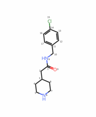 O=C(CC1CCNCC1)NCc1ccc(Cl)cc1